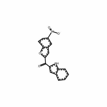 O=C(c1cc2ccccc2[nH]1)c1cc2cc([N+](=O)[O-])ccc2o1